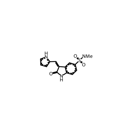 CNS(=O)(=O)c1ccc2c(c1)C(=Cc1ccc[nH]1)C(=O)N2